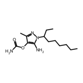 CCCCCCC(CC)n1nc(C)c(OC(N)=O)c1N